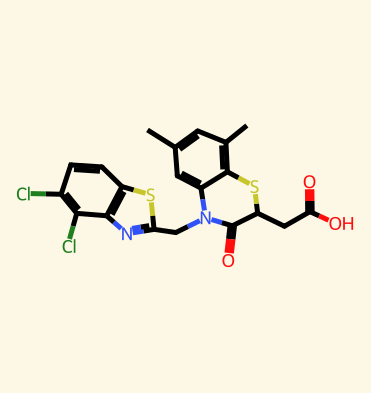 Cc1cc(C)c2c(c1)N(Cc1nc3c(Cl)c(Cl)ccc3s1)C(=O)C(CC(=O)O)S2